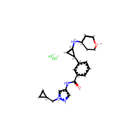 Cl.Cl.O=C(Nc1cnn(CC2CC2)c1)c1cccc(C2CC2NC2CCOCC2)c1